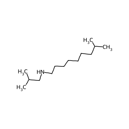 CC(C)CCCCCCCNCC(C)C